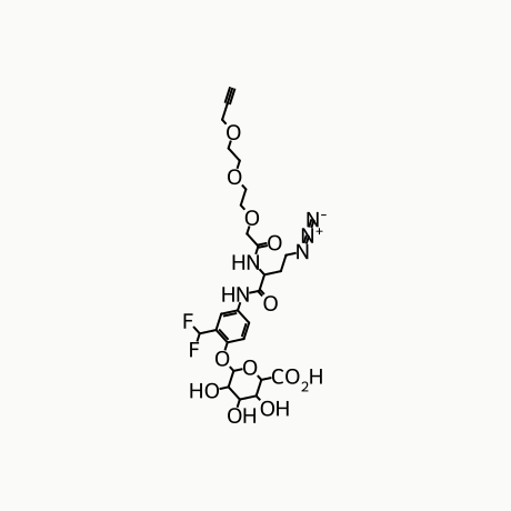 C#CCOCCOCCOCC(=O)NC(CCN=[N+]=[N-])C(=O)Nc1ccc(OC2OC(C(=O)O)C(O)C(O)C2O)c(C(F)F)c1